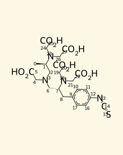 C[C@H](CN(CC(=O)O)C[C@@H](Cc1ccc(N=C=S)cc1)N(CC(=O)O)CC(=O)O)N(CC(=O)O)CC(=O)O